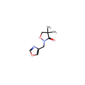 CC1(C)CON(Cc2cocn2)C1=O